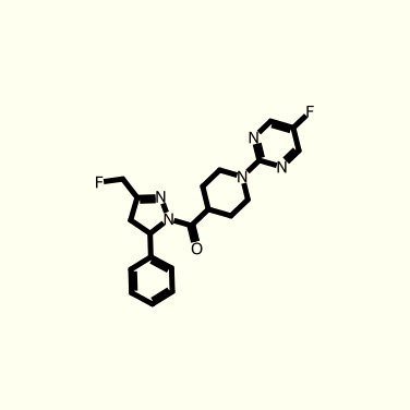 O=C(C1CCN(c2ncc(F)cn2)CC1)N1N=C(CF)CC1c1ccccc1